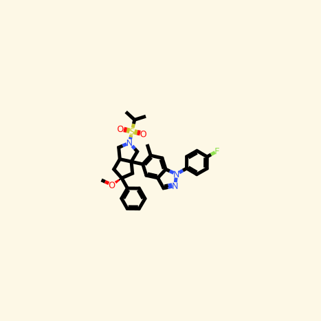 CO[C@@]1(c2ccccc2)CC2CN(S(=O)(=O)C(C)C)CC2(c2cc3cnn(-c4ccc(F)cc4)c3cc2C)C1